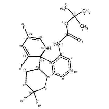 CC(C)(C)OC(=O)Nc1cnccc1C1(C2CCC(F)(F)CC2)NC=C(F)C=C1F